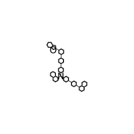 c1cc(-c2ccc(-c3ccc(N(c4ccc(-c5ccc(-c6cccc7ccccc67)cc5)cc4)c4cccc5ccccc45)cc3)cc2)cc(-c2cc3ccccc3o2)c1